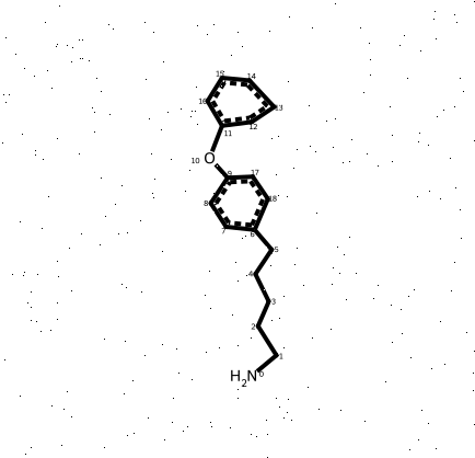 NCCCC[CH]c1ccc(Oc2ccccc2)cc1